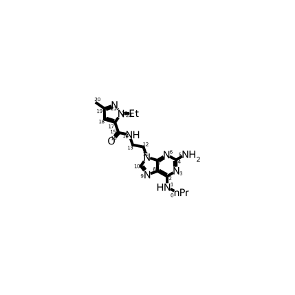 CCCNc1nc(N)nc2c1ncn2CCNC(=O)c1cc(C)nn1CC